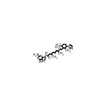 CC1=C(/C=C/C(C)=C/C=C/C(C)=C/C(=O)Nn2cnc3c(S)nc(N)nc32)C(C)(C)CCC1n1ccnc1